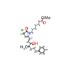 COC(=O)CCCCCCN1C(=O)C(F)(F)C[C@@H]1/C=C/C(O)C(C)CCCc1ccccc1